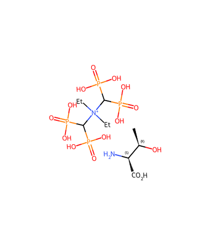 CC[N+](CC)(C(P(=O)(O)O)P(=O)(O)O)C(P(=O)(O)O)P(=O)(O)O.C[C@@H](O)[C@H](N)C(=O)O